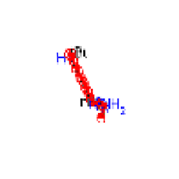 CCCCc1nc2c(N)nc3cc(C4CCOCC4)sc3c2n1CC1CCN(CCOCCOCCOCCOCCOCCOCCOCCOCCNC(=O)OC(C)(C)C)CC1